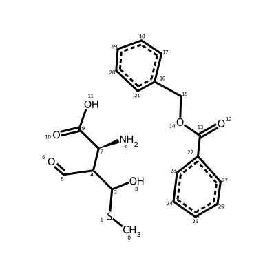 CSC(O)C(C=O)[C@H](N)C(=O)O.O=C(OCc1ccccc1)c1cc[c]cc1